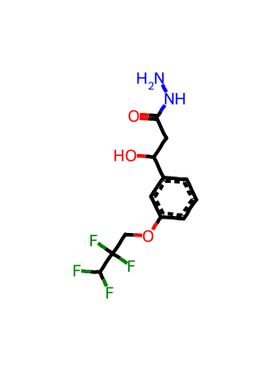 NNC(=O)CC(O)c1cccc(OCC(F)(F)C(F)F)c1